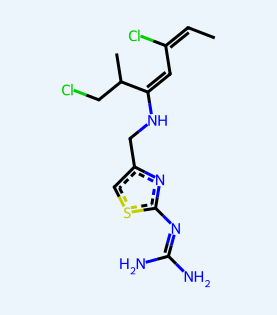 C/C=C(Cl)\C=C(\NCc1csc(N=C(N)N)n1)C(C)CCl